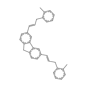 Cc1ccccc1CC=Cc1ccc2c(c1)-c1cc(C=CCc3ccccc3C)ccc1C2